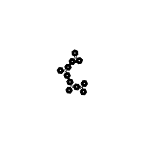 c1ccc(N(c2ccc(-c3ccc(N(c4ccccc4)c4ccc(N(c5ccccc5)c5ccccc5)cc4)cc3)cc2)c2ccc(-c3ccc4c(c3)c3ccccc3n4-c3ccccc3)cc2)cc1